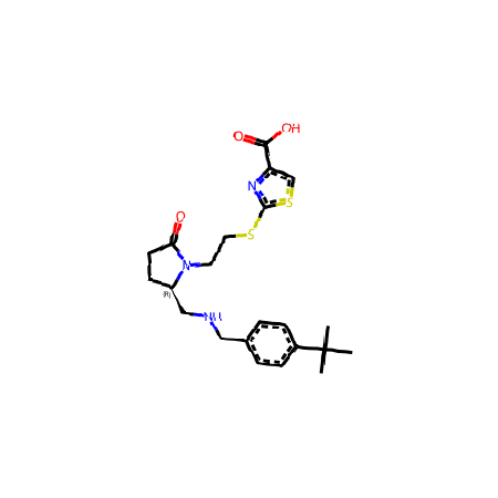 CC(C)(C)c1ccc(CNC[C@H]2CCC(=O)N2CCSc2nc(C(=O)O)cs2)cc1